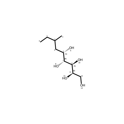 CCC(C)C[C@H](O)[C@@H](O)[C@@H](O)[C@H](O)CO